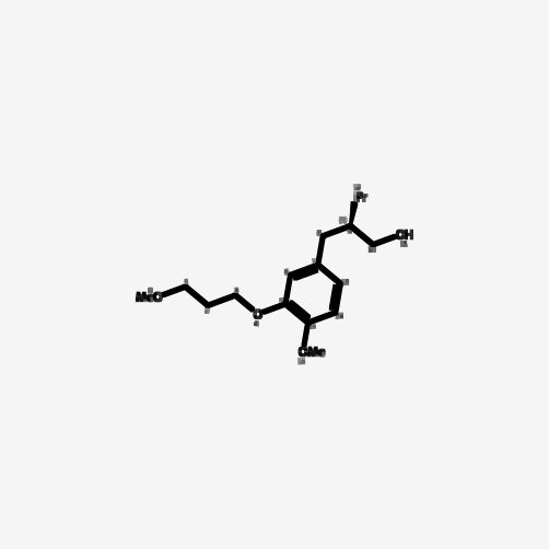 COCCCOc1cc(C[C@H](CO)C(C)C)ccc1OC